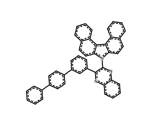 c1ccc(-c2ccc(-c3cccc(-c4nc5ccccc5nc4-n4c5ccc6ccccc6c5c5c6ccccc6ccc54)c3)cc2)cc1